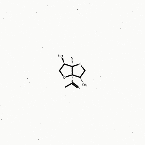 CC(=S)[C@]12OC[C@@H](O)[C@H]1OC[C@@H]2O